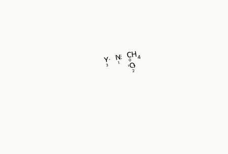 C.[N].[O].[Y]